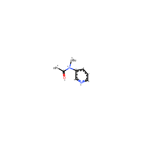 CCCCN(C(=O)CCC)c1cccnc1